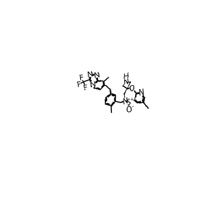 Cc1cnc2c(c1)[S+]([O-])N(Cc1cc(Cc3ccn4c(C(F)(F)F)nnc4c3C)ccc1C)CC1(CNC1)O2